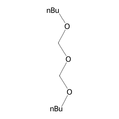 CCCCOCOCOCCCC